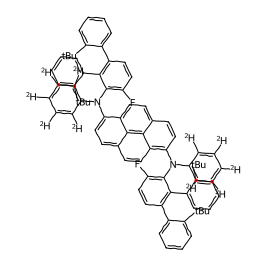 [2H]c1c([2H])c([2H])c(N(c2c(F)ccc(-c3ccccc3C(C)(C)C)c2-c2ccccc2C(C)(C)C)c2ccc3ccc4c(N(c5c([2H])c([2H])c([2H])c([2H])c5[2H])c5c(F)ccc(-c6ccccc6C(C)(C)C)c5-c5ccccc5C(C)(C)C)ccc5ccc2c3c54)c([2H])c1[2H]